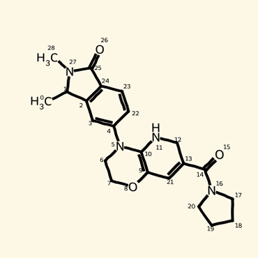 CC1c2cc(N3CCOC4=C3NCC(C(=O)N3CCCC3)=C4)ccc2C(=O)N1C